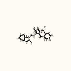 CC1=Cc2ccccc2C1CCC1=C(C)C=C2C1=Cc1ccccc1[C@H]2C